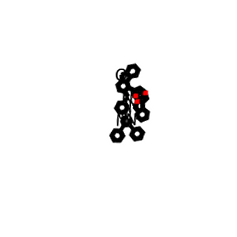 c1ccc(-c2nnn(-c3cccc4c5ccccc5n(-c5ccccc5-n5c6ccccc6c6c7c(ccc65)oc5ccccc57)c34)c2-c2ccccc2)cc1